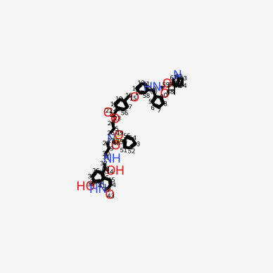 O=C(N[C@@H](c1ccccc1)c1cccc(OCc2ccc(C(=O)OCCCN(CCCNC[C@H](O)c3ccc(O)c4[nH]c(=O)ccc34)S(=O)(=O)c3ccccc3)cc2)c1)O[C@H]1CN2CCC1CC2